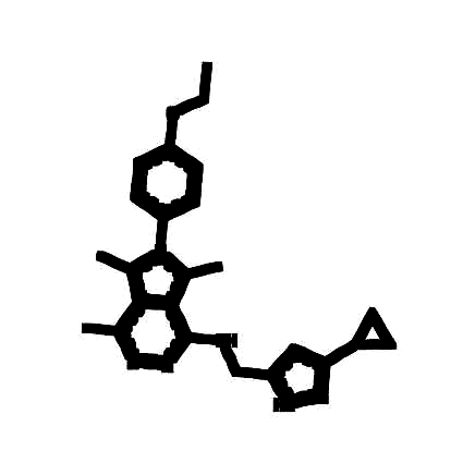 CCOc1ccc(-n2c(C)c3c(C)nnc(NCc4cc(C5CC5)n[nH]4)c3c2C)cc1